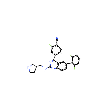 N#Cc1ccc(-c2nc(NCC3CCNC3)nc3ccc(-c4c(F)cccc4F)cc23)cc1F